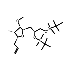 C=CC[C@@H]1O[C@H](C[C@@H](CO[Si](C)(C)C(C)(C)C)O[Si](C)(C)C(C)(C)C)[C@H](OC)[C@H]1C